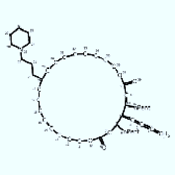 C=C=C=C=C1C(CCCCC)CC(=O)OCCCCCCCCC(CCCN2CCCCC2)CCCCCCCCOC(=O)CC1CCCCC